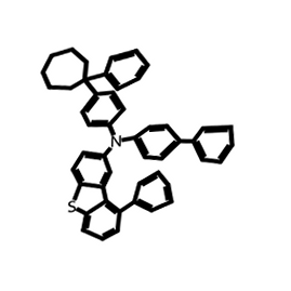 c1ccc(-c2ccc(N(c3ccc(C4(c5ccccc5)CCCCCC4)cc3)c3ccc4sc5cccc(-c6ccccc6)c5c4c3)cc2)cc1